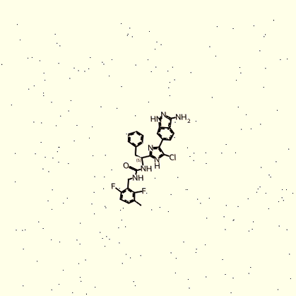 Cc1ccc(F)c(CNC(=O)N[C@@H](Cc2ccccc2)c2nc(-c3ccc4c(N)n[nH]c4c3)c(Cl)[nH]2)c1F